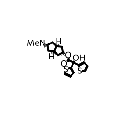 CN[C@H]1C[C@@H]2C[C@H](OC(=O)C(O)(c3cccs3)c3cccs3)C[C@@H]2C1